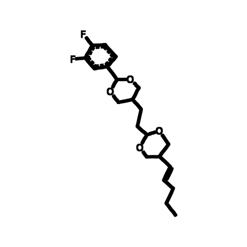 CCCC=CC1COC(CCC2COC(c3ccc(F)c(F)c3)OC2)OC1